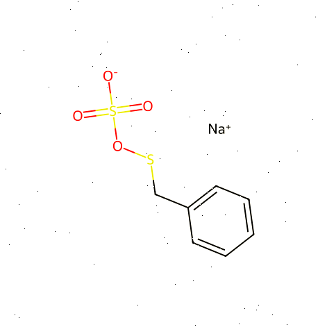 O=S(=O)([O-])OSCc1ccccc1.[Na+]